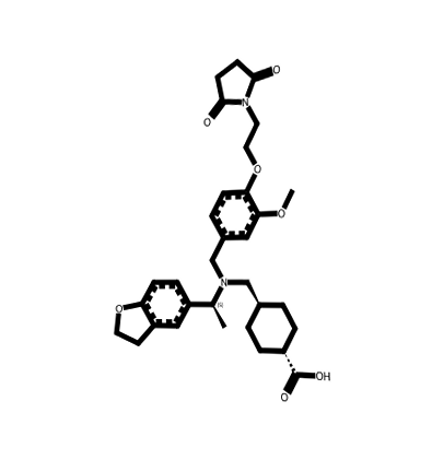 COc1cc(CN(C[C@H]2CC[C@H](C(=O)O)CC2)[C@@H](C)c2ccc3c(c2)CCO3)ccc1OCCN1C(=O)CCC1=O